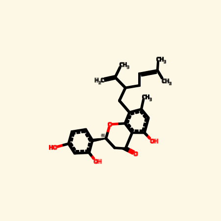 C=C(C)C(CC=C(C)C)Cc1c(C)cc(O)c2c1O[C@H](c1ccc(O)cc1O)CC2=O